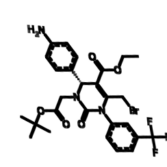 CCOC(=O)C1=C(CBr)N(c2cccc(C(F)(F)F)c2)C(=O)N(CC(=O)OC(C)(C)C)[C@@H]1c1ccc(N)cc1